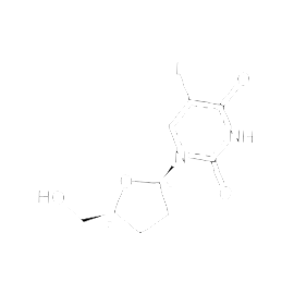 O=c1[nH]c(=O)n([C@H]2CC[C@@H]([CH]O)O2)cc1I